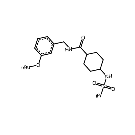 CCCCOc1cccc(CNC(=O)C2CCC(NS(=O)(=O)C(C)C)CC2)c1